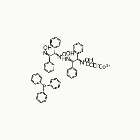 ON=C(C(=NO)c1ccccc1)c1ccccc1.ON=C(C(=NO)c1ccccc1)c1ccccc1.[Cl-].[Cl-].[Cl-].[Co+3].c1ccc(P(c2ccccc2)c2ccccc2)cc1